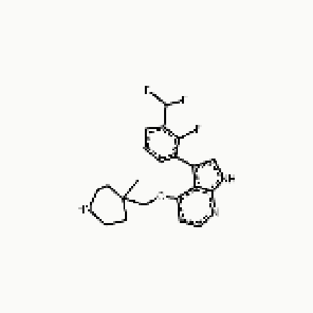 CC1(COc2ccnc3[nH]cc(-c4cccc(C(F)F)c4F)c23)CCNCC1